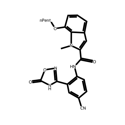 CCCCCOc1cccc2cc(C(=O)Nc3ccc(C#N)cc3-c3noc(=O)[nH]3)n(C)c12